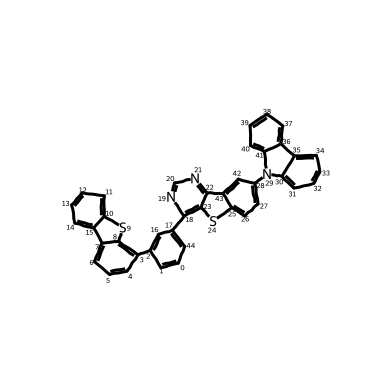 c1cc(-c2cccc3c2sc2ccccc23)cc(-c2ncnc3c2sc2ccc(-n4c5ccccc5c5ccccc54)cc23)c1